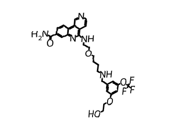 NC(=O)c1ccc2c(c1)nc(NCCOCCCCNCc1cc(OCCO)cc(OC(F)(F)F)c1)c1ccncc12